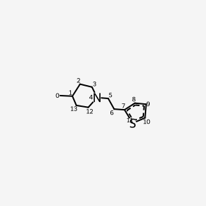 CC1CCN(CCc2cccs2)CC1